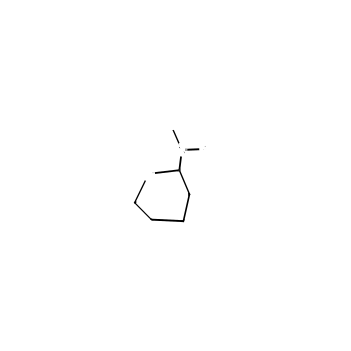 CC(=O)N(C)C1CCCCO1